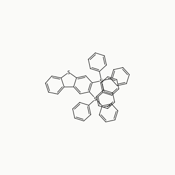 c1ccc([Si](c2ccccc2)(c2ccccc2)c2cc3sc4ccccc4c3cc2[Si](c2ccccc2)(c2ccccc2)c2ccccc2)cc1